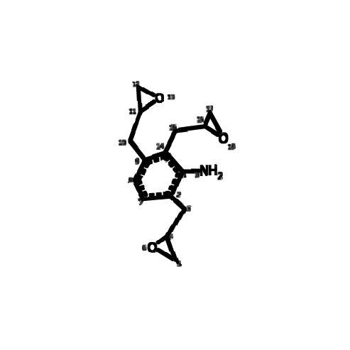 Nc1c(CC2CO2)[c]cc(CC2CO2)c1CC1CO1